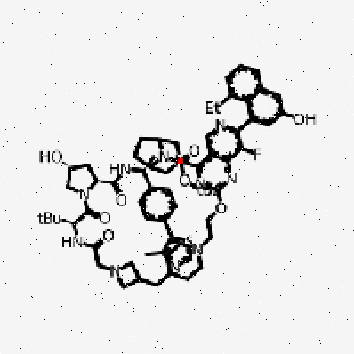 CCc1cccc2cc(O)cc(-c3ncc4c(N5CC6CCC(C5)N6C(=O)OC(C)(C)C)nc(OCCN5CCC(CC6CN(CC(=O)N[C@H](C(=O)N7C[C@H](O)C[C@H]7C(=O)N[C@@H](C)c7ccc(-c8scnc8C)cc7)C(C)(C)C)C6)CC5)nc4c3F)c12